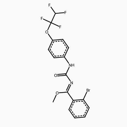 COC(=NC(=O)Nc1ccc(OC(F)(F)C(F)F)cc1)c1ccccc1Br